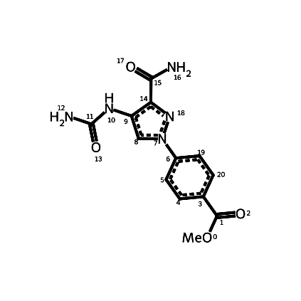 COC(=O)c1ccc(-n2cc(NC(N)=O)c(C(N)=O)n2)cc1